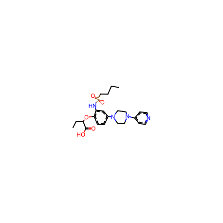 CCCCS(=O)(=O)Nc1cc(N2CCN(c3ccncc3)CC2)ccc1OC(CC)C(=O)O